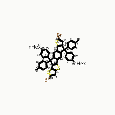 CCCCCCc1ccc(C2(c3ccc(C)cc3)c3cc4c(cc3-c3sc(Br)cc32)C(c2ccc(C)cc2)(c2ccc(CCCCCC)cc2)c2c-4sc3cc(Br)sc23)cc1